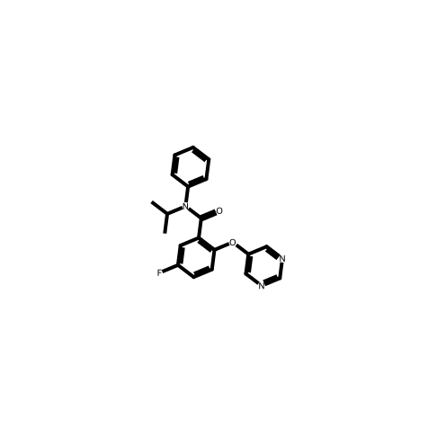 CC(C)N(C(=O)c1cc(F)ccc1Oc1cncnc1)c1ccccc1